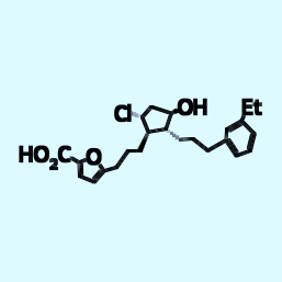 CCc1cccc(CCC[C@@H]2[C@@H](CCCc3ccc(C(=O)O)o3)[C@H](Cl)C[C@H]2O)c1